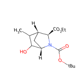 CCOC(=O)[C@@H]1[C@@H]2C[C@@H](C(O)C2C)N1C(=O)OC(C)(C)C